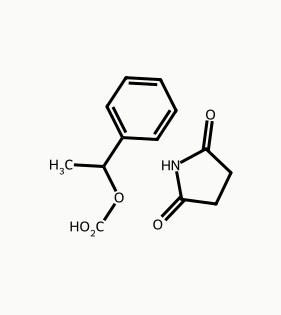 CC(OC(=O)O)c1ccccc1.O=C1CCC(=O)N1